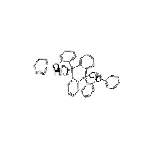 OC1(c2ccccc2Oc2ccccc2)c2ccccc2C(O)(c2ccccc2Oc2ccccc2)c2ccccc21